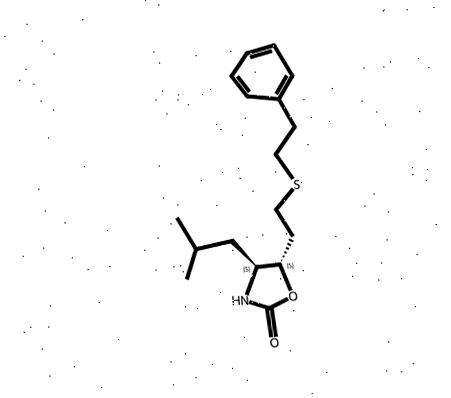 CC(C)C[C@@H]1NC(=O)O[C@H]1CCSCCc1ccccc1